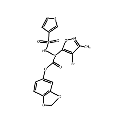 Cc1noc(N(NS(=O)(=O)c2ccsc2)C(=O)Oc2ccc3c(c2)OCO3)c1Br